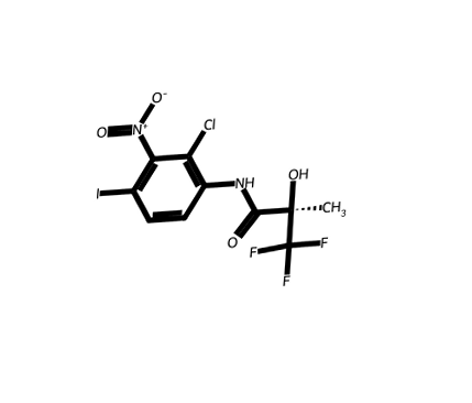 C[C@@](O)(C(=O)Nc1ccc(I)c([N+](=O)[O-])c1Cl)C(F)(F)F